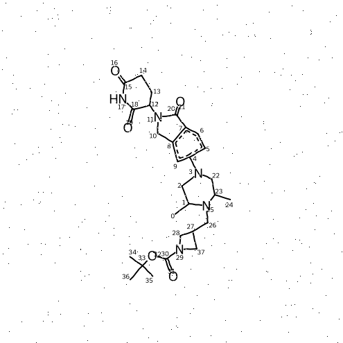 CC1CN(c2ccc3c(c2)CN(C2CCC(=O)NC2=O)C3=O)CC(C)N1CC1CN(C(=O)OC(C)(C)C)C1